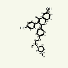 CC1=C(c2ccc(O)cc2)C(c2ccc(OC[C@H](C)N3CC[C@@H](C)C3)cn2)Oc2ccc(O)cc21